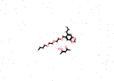 CC(=O)/C=C(/C)O.CCCCOCCOCCOCc1cc2c(cc1CCC)OCO2